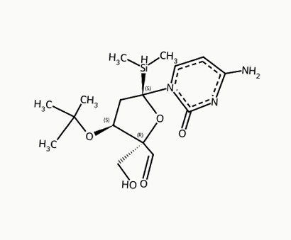 C[SiH](C)[C@]1(n2ccc(N)nc2=O)C[C@H](OC(C)(C)C)[C@@](C=O)(CO)O1